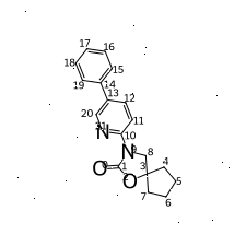 O=C1OC2(CCCC2)CN1c1ccc(-c2ccccc2)cn1